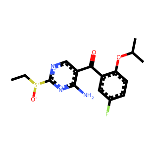 CC[S+]([O-])c1ncc(C(=O)c2cc(F)ccc2OC(C)C)c(N)n1